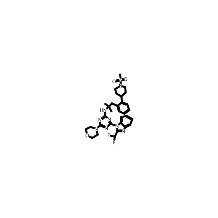 CC(C)(Cc1ccccc1C1CCN(S(C)(=O)=O)CC1)Nc1nc(N2CCOCC2)nc(-n2c(C(F)F)nc3ccccc32)n1